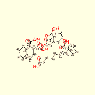 C[C@@]1(C(=O)O)CCCCC1CC(=O)O.O=C(O)CCCCCCCC1(C(=O)O)CCCC1.O=C(O)c1ccc2c(c1C(=O)O)CCCC2